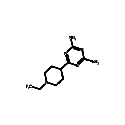 Nc1nc(N)nc(C2CCN(CC(F)(F)F)CC2)n1